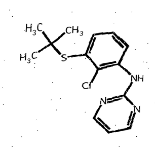 CC(C)(C)Sc1cccc(Nc2ncccn2)c1Cl